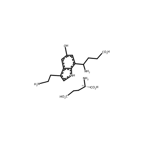 NCCc1c[nH]c2c(C(N)CCC(=O)O)cc(O)cc12.N[C@@H](CCC(=O)O)C(=O)O